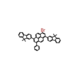 CC1(C)c2ccccc2-c2ccc(-c3cc(Br)c4ccc5c(-c6ccc7c(c6)C(C)(C)c6ccccc6-7)cc(-c6ccccc6)c6ccc3c4c65)cc21